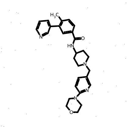 Cc1ccc(C(=O)NC2CCN(Cc3ccc(N4CCOCC4)nc3)CC2)cc1-c1cccnc1